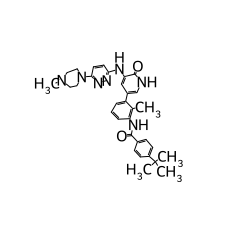 Cc1c(NC(=O)c2ccc(C(C)(C)C)cc2)cccc1-c1c[nH]c(=O)c(Nc2ccc(N3CCN(C)CC3)nn2)c1